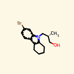 C[C@H](CO)Cn1c2c(c3ccc(Br)cc31)CCCC2